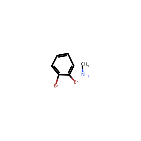 Brc1ccccc1Br.CN